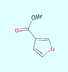 COC(=O)c1ccoc1